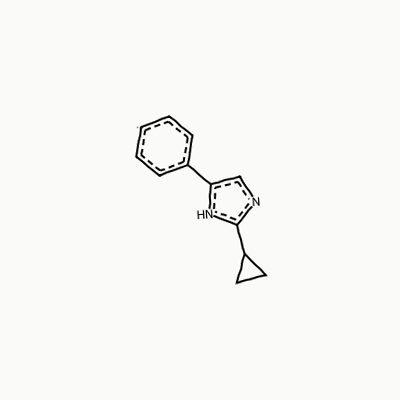 [c]1ccc(-c2cnc(C3CC3)[nH]2)cc1